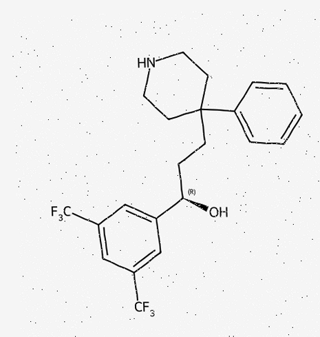 O[C@H](CCC1(c2ccccc2)CCNCC1)c1cc(C(F)(F)F)cc(C(F)(F)F)c1